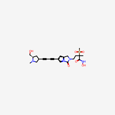 CN1CC(C#CC#Cc2cc3n(c2)C(=O)N(CCC(C)(C(=O)NO)S(C)(=O)=O)C3)C[C@@H]1CO